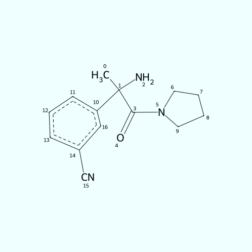 CC(N)(C(=O)N1CCCC1)c1cccc(C#N)c1